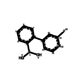 OB(O)c1ccccc1-c1ccnc(F)c1